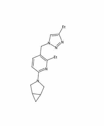 CCc1cn(Cc2ccc(N3CC4CC4C3)nc2CC)nn1